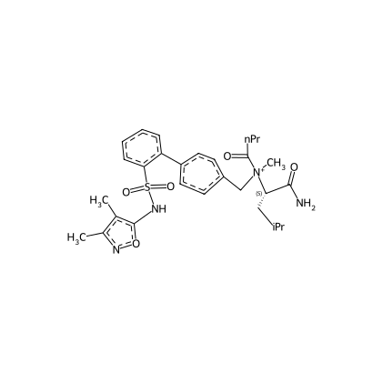 CCCC(=O)[N+](C)(Cc1ccc(-c2ccccc2S(=O)(=O)Nc2onc(C)c2C)cc1)[C@@H](CC(C)C)C(N)=O